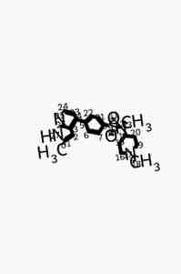 Cc1cc2c(-c3ccc(S(=O)(=O)N(C)C4CCN(C)CC4)cc3)ccnc2[nH]1